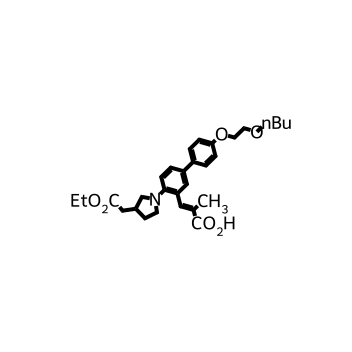 CCCCOCCOc1ccc(-c2ccc(N3CCC(CC(=O)OCC)C3)c(C=C(C)C(=O)O)c2)cc1